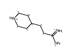 CCCC(=N)CCC1CCNCC1